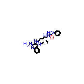 CC(C)Cn1c(CCCCNC(=O)Nc2ccccc2)nc2c(N)nc3ccccc3c21